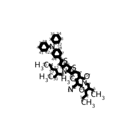 CCCCC(CC)CN1C(=O)C(C#N)=C(C)/C(=C\c2cc3c(s2)c2sc(-c4ccc(N(c5ccccc5)c5ccccc5)cc4)cc2n3CC(CC)CCCC)C1=O